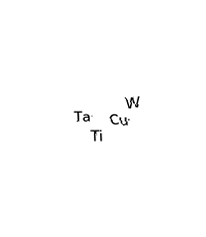 [Cu].[Ta].[Ti].[W]